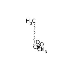 CCCCCCCCCC(CC)OC(=O)SC